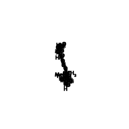 CO[C@@H]1[C@H](N(C)C(=O)CCOCCOCCOCCNC(=O)COc2cccc3c2C(=O)N(C2CCC(=O)NC2=O)C3=O)C[C@H]2O[C@]1(C)n1c3ccccc3c3c4c(c5c6ccccc6n2c5c31)C(=O)NC4